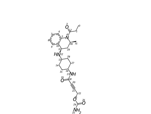 CCC(=O)N1c2ccccc2[C@H](NC2CCC(NC(=O)C#CCOC(N)=O)CC2)C[C@@H]1C